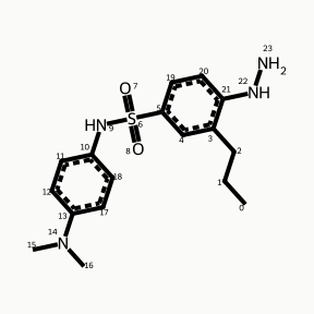 CCCc1cc(S(=O)(=O)Nc2ccc(N(C)C)cc2)ccc1NN